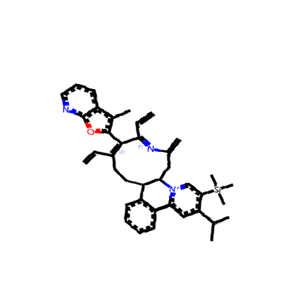 C=C/C1=C(c2oc3ncccc3c2C)/C(C=C)=N/C(=C)CC2C(CC1)c1ccccc1-c1cc(C(C)C)c([Si](C)(C)C)c[n+]12